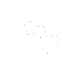 COC1OC1c1cc2c(Cl)cc(Cl)cn2c1